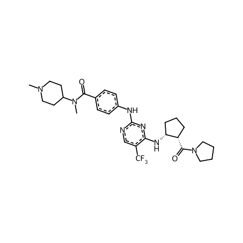 CN1CCC(N(C)C(=O)c2ccc(Nc3ncc(C(F)(F)F)c(N[C@@H]4CCC[C@@H]4C(=O)N4CCCC4)n3)cc2)CC1